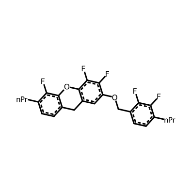 CCCc1ccc(COc2cc3c(c(F)c2F)Oc2c(ccc(CCC)c2F)C3)c(F)c1F